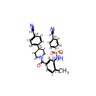 Cc1ccc(C(=O)N2CCC(c3ccc(C#N)cc3)CC2)cc1NS(=O)(=O)c1ccc(C#N)cc1